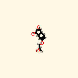 O=C1C2OC2C2C3CC(OCC4CO4)C(C3)C12